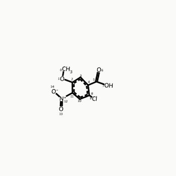 COc1cc(C(=O)O)c(Cl)cc1[N+](=O)[O-]